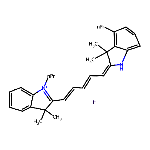 CCCc1cccc2c1C(C)(C)C(=CC=CC=CC1=[N+](CCC)c3ccccc3C1(C)C)N2.[I-]